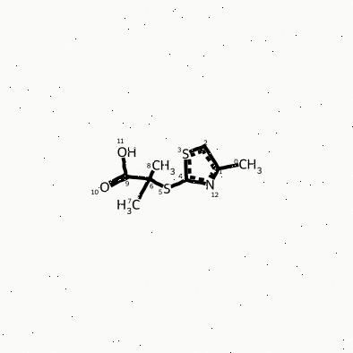 Cc1[c]sc(SC(C)(C)C(=O)O)n1